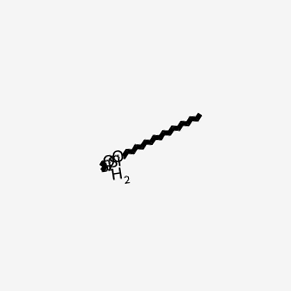 CCCCCCCCCCCCCCCCCCO[SiH2]O[Si](C)(C)C